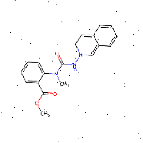 COC(=O)c1ccccc1N(C)C(=O)NN1C=c2ccccc2=CC1